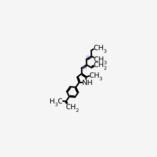 C=CC(=C\c1cc(-c2ccc(C(=C)C)cc2)[nH]c1C)/C=C(\C)CC